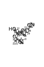 Cc1cc([C@H](C(=O)CN2C[C@H](O)C[C@H]2C(=O)N[C@@H](C)c2ccc(-c3cnco3)cc2)C(C)(C)C)on1